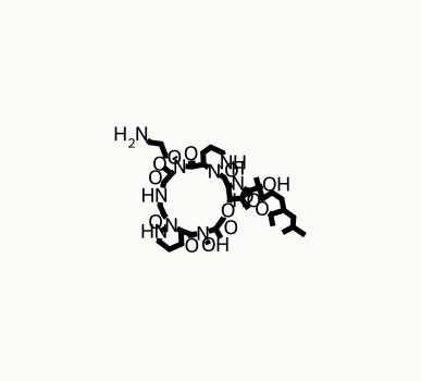 CC(C)CC1CCC(O)(C(C)(O)C(=O)NC2C(=O)N3NCCCC3C(=O)N(OC(=O)CCN)C(C)C(=O)NCC(=O)N3NCCCC3C(=O)N(O)C(C)C(=O)OC2C(C)C)OC1C